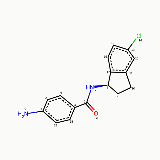 Nc1ccc(C(=O)N[C@@H]2CCc3cc(Cl)ccc32)cc1